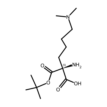 CN(C)CCCC[C@](N)(C(=O)O)C(=O)OC(C)(C)C